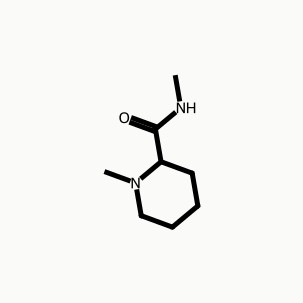 CNC(=O)C1CCCCN1C